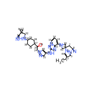 CCc1cnn(C2(CC#N)CN(c3cccn4nc(Nc5cnn(CC(=O)C6CCC(NCC7(C#N)CC7)CC6)c5)nc34)C2)c1